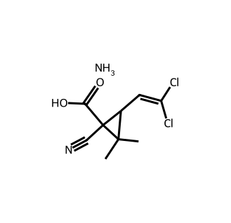 CC1(C)C(C=C(Cl)Cl)C1(C#N)C(=O)O.N